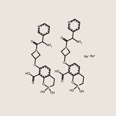 NC(C(=O)N1CC(Oc2ccc3c(c2C(=O)O)O[B-](O)(O)CC3)C1)c1cccnc1.NC(C(=O)N1CC(Oc2ccc3c(c2C(=O)O)O[B-](O)(O)CC3)C1)c1cccnc1.[Na+].[Na+]